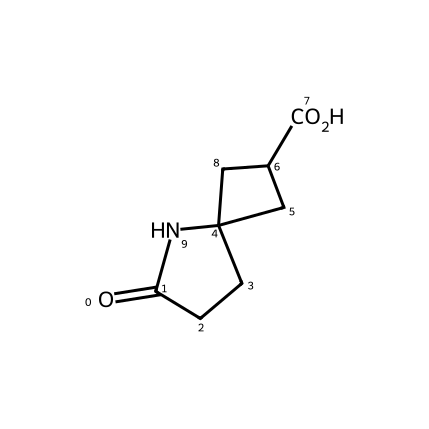 O=C1CCC2(CC(C(=O)O)C2)N1